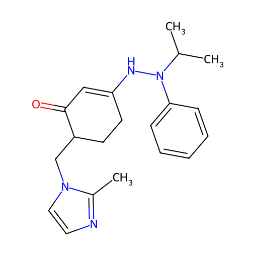 Cc1nccn1CC1CCC(NN(c2ccccc2)C(C)C)=CC1=O